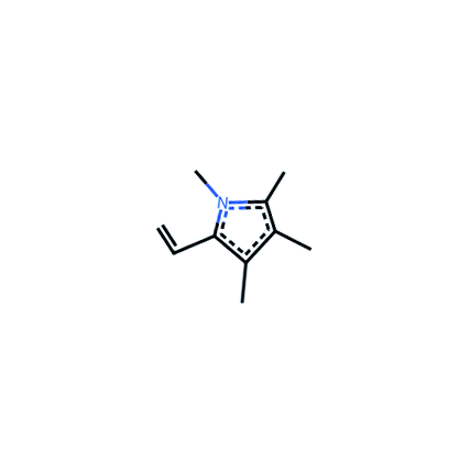 C=Cc1c(C)c(C)c(C)n1C